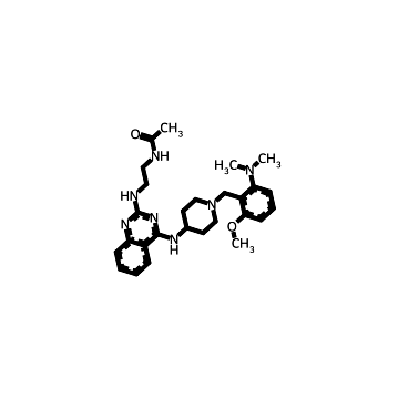 COc1cccc(N(C)C)c1CN1CCC(Nc2nc(NCCNC(C)=O)nc3ccccc23)CC1